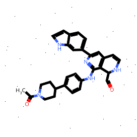 CC(=O)N1CCC(c2ccc(Nc3nc(-c4ccc5cc[nH]c5c4)cc4c3C(C=O)NC=C4)cc2)CC1